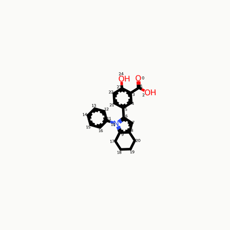 O=C(O)c1cc(-c2cc3c(n2-c2ccccc2)CCCC3)ccc1O